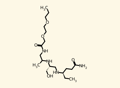 CCCOCCOCC(=O)NCC(C)N[C@@H](CO)CN[C@H](CC)CCC(N)=O